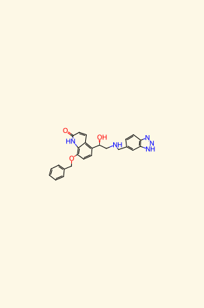 O=c1ccc2c([C@@H](O)CNCc3ccc4nn[nH]c4c3)ccc(OCc3ccccc3)c2[nH]1